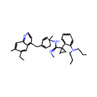 CCCN(CCC)c1ccccc1C1(/C(=N\C)NC2(C)C=CC(Cc3ccnc4cc(C)c(CC)cc34)=CC2)CC1